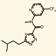 [CH2]C(F)CCc1nnc(C(=O)N(C)c2cc(C(F)(F)F)ccn2)s1